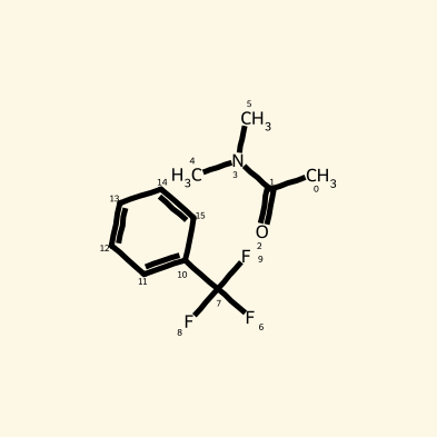 CC(=O)N(C)C.FC(F)(F)c1ccccc1